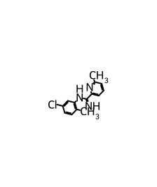 Cc1cccc(C(=N)Nc2cc(Cl)ccc2C)n1